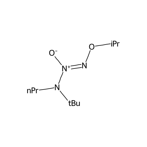 CCCN([N+]([O-])=NOC(C)C)C(C)(C)C